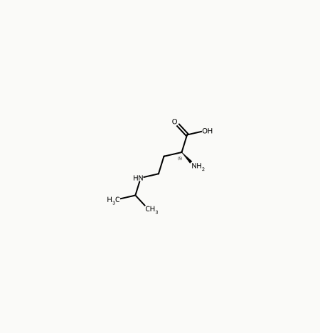 CC(C)NCC[C@H](N)C(=O)O